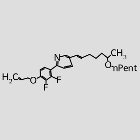 C=CCOc1ccc(-c2ccc(C=CCCCC(C)OCCCCC)cn2)c(F)c1F